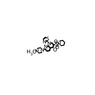 CN1CCN(c2ccc3c(=O)c(S(=O)(=O)N4CCCCC4)cn(-c4nccs4)c3n2)CC1